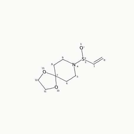 C=C[S+]([O-])N1CCC2(CC1)OCCO2